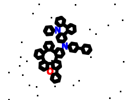 c1ccc(-c2ccc(N(c3ccc4c(c3)-c3ccccc3-c3ccccc3N4c3ccccc3)c3ccc4c(c3)c3ccccc3c3ccccc3c3ccccc3c3c4ccc4c5ccccc5oc43)cc2)cc1